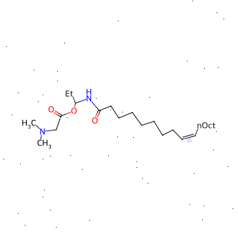 CCCCCCCC/C=C\CCCCCCCC(=O)NC(CC)OC(=O)CN(C)C